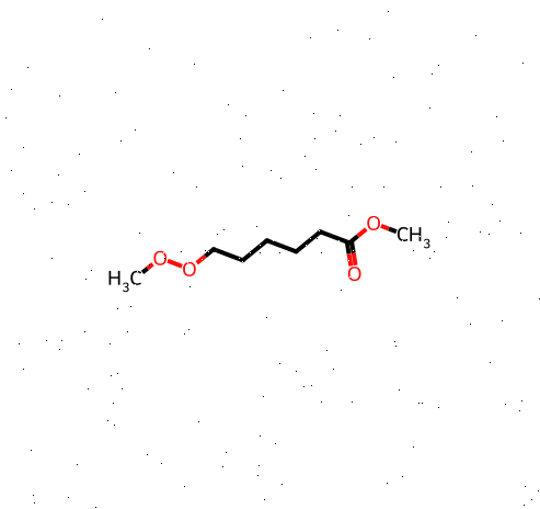 COOCCCCCC(=O)OC